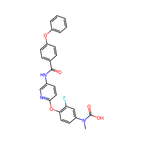 CN(C(=O)O)c1ccc(Oc2ccc(NC(=O)c3ccc(Oc4ccccc4)cc3)cn2)c(F)c1